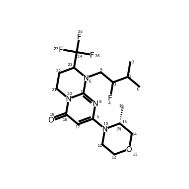 CC(C)C(F)CN1c2nc(N3CCOC[C@H]3C)cc(=O)n2CCC1C(F)(F)F